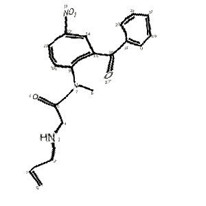 C=CCNCC(=O)N(C)c1ccc([N+](=O)[O-])cc1C(=O)c1ccccc1